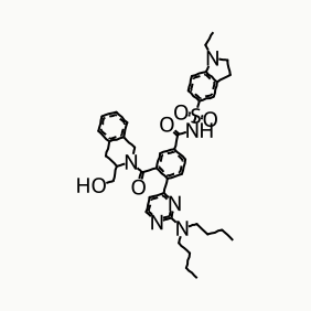 CCCCN(CCCC)c1nccc(-c2ccc(C(=O)NS(=O)(=O)c3ccc4c(c3)CCN4CC)cc2C(=O)N2Cc3ccccc3CC2CO)n1